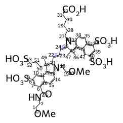 COCCNC(=O)c1cc(S(=O)(=O)O)cc2c3c(ccc12)[N+](CCOC)=C(/C=C/C=C1/N(CCCCCC(=O)O)c2ccc4c(S(=O)(=O)O)cc(S(=O)(=O)O)cc4c2C1(C)C)C3(C)CCCS(=O)(=O)O